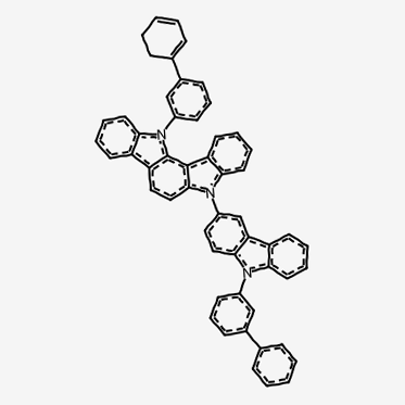 C1=CCCC(c2cccc(-n3c4ccccc4c4ccc5c(c6ccccc6n5-c5ccc6c(c5)c5ccccc5n6-c5cccc(-c6ccccc6)c5)c43)c2)=C1